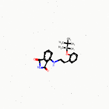 CC(C)(C)[Si](C)(C)Oc1ccccc1CCNc1cccc2c1C(=O)NC2=O